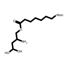 CCCCCCCCCCCCCCCC(=O)OCC(N)CC(O)O